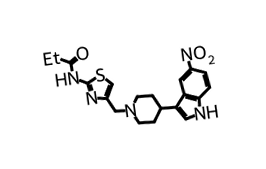 CCC(=O)Nc1nc(CN2CCC(c3c[nH]c4ccc([N+](=O)[O-])cc34)CC2)cs1